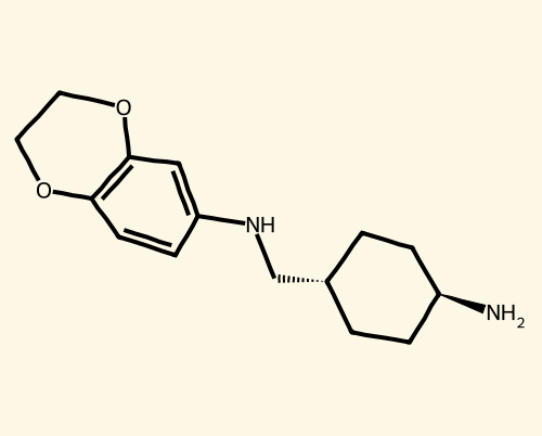 N[C@H]1CC[C@H](CNc2ccc3c(c2)OCCO3)CC1